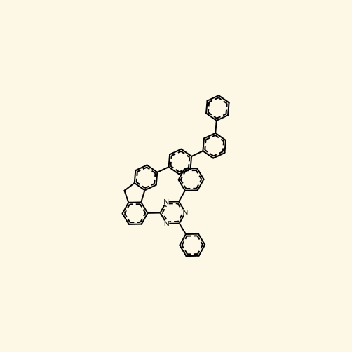 c1ccc(-c2cccc(-c3ccc(-c4ccc5c(c4)-c4c(cccc4-c4nc(-c6ccccc6)nc(-c6ccccc6)n4)C5)cc3)c2)cc1